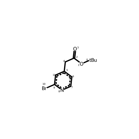 CC(C)(C)OC(=O)Cc1ccnc(Br)c1